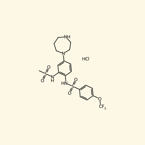 CS(=O)(=O)Nc1cc(N2CCCNCC2)ccc1NS(=O)(=O)c1ccc(OC(F)(F)F)cc1.Cl